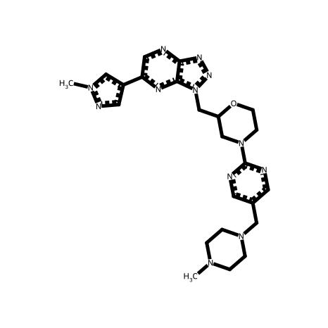 CN1CCN(Cc2cnc(N3CCOC(Cn4nnc5ncc(-c6cnn(C)c6)nc54)C3)nc2)CC1